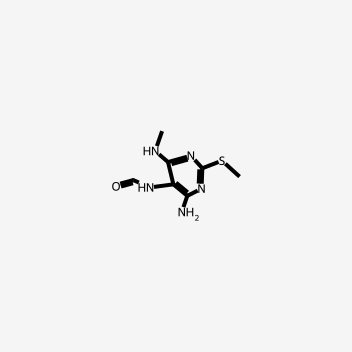 CNc1nc(SC)nc(N)c1NC=O